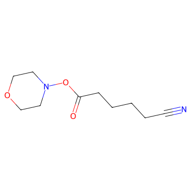 N#CCCCCC(=O)ON1CCOCC1